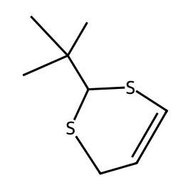 CC(C)(C)C1SC=CCS1